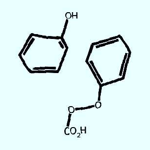 O=C(O)OOc1ccccc1.Oc1ccccc1